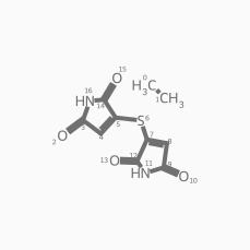 CC.O=C1C=C(SC2=CC(=O)NC2=O)C(=O)N1